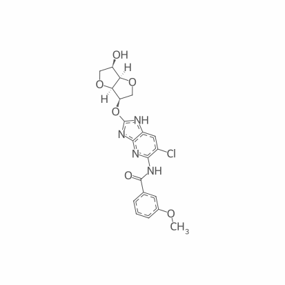 COc1cccc(C(=O)Nc2nc3nc(O[C@@H]4CO[C@H]5[C@@H]4OC[C@H]5O)[nH]c3cc2Cl)c1